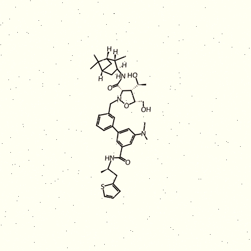 C[C@@H]1[C@@H](NC(=O)[C@@H]2[C@H]([C@H](C)O)[C@H](CO)ON2Cc2cccc(-c3cc(C(=O)N[C@H](C)Cc4cccs4)cc(N(C)C)c3)c2)C[C@H]2C[C@@H]1C2(C)C